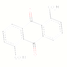 O=C(O)c1cccc2c1C(=O)c1cccc(C(=O)O)c1C2=O